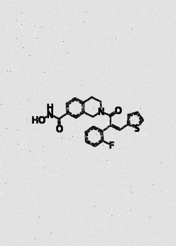 O=C(NO)c1ccc2c(c1)CN(C(=O)/C(=C\c1cccs1)c1ccccc1F)CC2